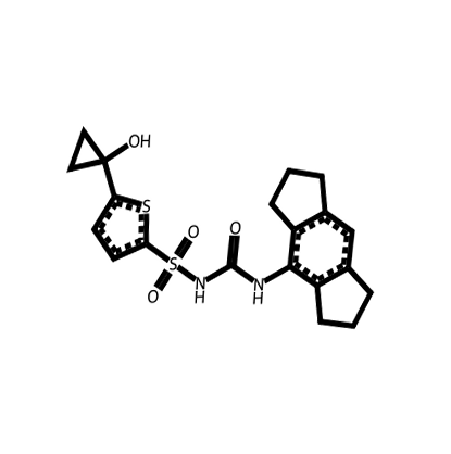 O=C(Nc1c2c(cc3c1CCC3)CCC2)NS(=O)(=O)c1ccc(C2(O)CC2)s1